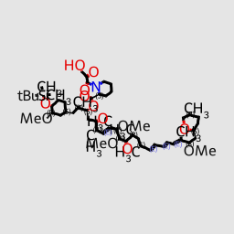 CO[C@@H](C[C@@H]1CC[C@@H](C)CO1)/C(C)=C/C=C/C=C/[C@@H](C)C[C@@H](C)C(=O)[C@H](OC)[C@H](OC)/C(C)=C/[C@@H](C)C(=O)C[C@H](OC(=O)[C@@H]1CCCCN1C(=O)C(=O)CO)[C@H](C)C[C@@H]1CCC(O[Si](C)(C)C(C)(C)C)[C@H](OC)C1